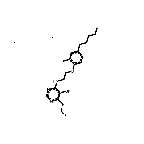 CCCCCc1ccc(OCCNc2ncnc(CCC)c2Br)c(C)c1